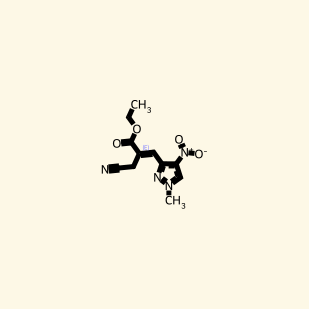 CCOC(=O)/C(=C/c1nn(C)cc1[N+](=O)[O-])CC#N